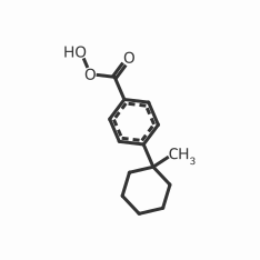 CC1(c2ccc(C(=O)OO)cc2)CCCCC1